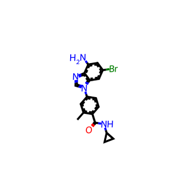 Cc1cc(-n2cnc3c(N)cc(Br)cc32)ccc1C(=O)NC1CC1